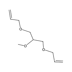 C=CCOCC(COCC=C)OC